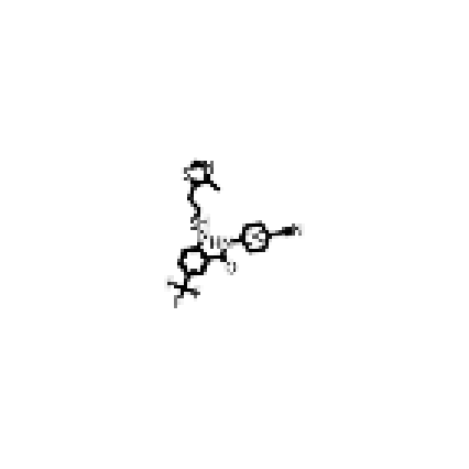 Cc1ncsc1CCSNc1ccc(C(F)(F)F)cc1C(=O)NC12CCC(C#N)(CC1)CC2